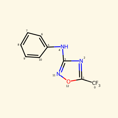 FC(F)(F)c1nc(Nc2cc[c]cc2)no1